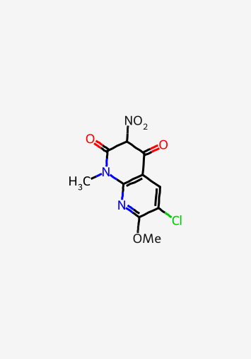 COc1nc2c(cc1Cl)C(=O)C([N+](=O)[O-])C(=O)N2C